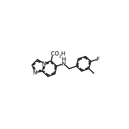 Cc1cc(CNc2ccc3nccn3c2C(=O)O)ccc1F